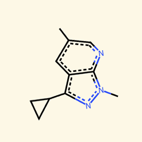 Cc1cnc2c(c1)c(C1CC1)nn2C